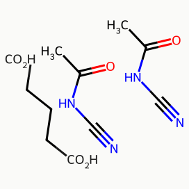 CC(=O)NC#N.CC(=O)NC#N.O=C(O)CCCC(=O)O